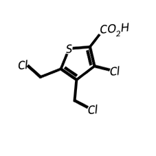 O=C(O)c1sc(CCl)c(CCl)c1Cl